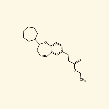 CCOC(=O)CCc1ccc2c(c1)C=CCC(C1CCCCCC1)O2